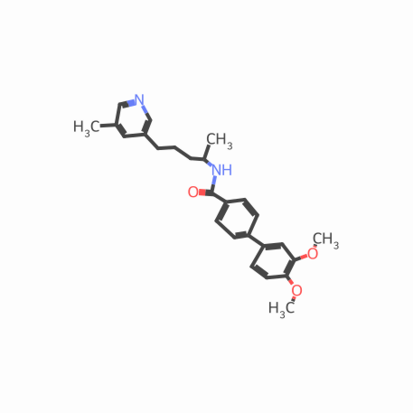 COc1ccc(-c2ccc(C(=O)NC(C)CCCc3cncc(C)c3)cc2)cc1OC